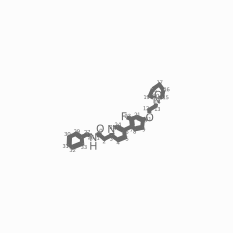 O=C(Cc1ccc(-c2ccc(OCCN3CC4CC(C3)O4)cc2F)cn1)NCc1ccccc1